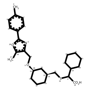 Cc1ccc(-c2nc(CO[C@@H]3CCC[C@H](CSC(C(=O)O)C4CCCCC4)C3)c(C)o2)cc1